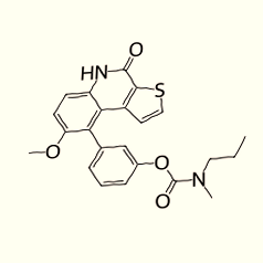 CCCN(C)C(=O)Oc1cccc(-c2c(OC)ccc3[nH]c(=O)c4sccc4c23)c1